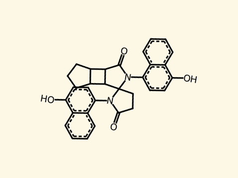 O=C1CCC2(C3C4CCCC4C3C(=O)N2c2ccc(O)c3ccccc23)N1c1ccc(O)c2ccccc12